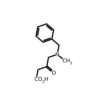 CN(CC(=O)CC(=O)O)Cc1ccccc1